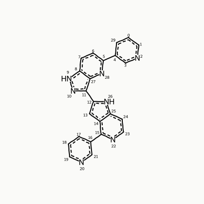 c1cncc(-c2ccc3[nH]nc(-c4cc5c(-c6cccnc6)nccc5[nH]4)c3n2)c1